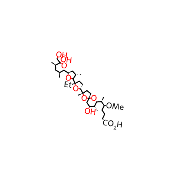 CC[C@@]1(C2O[C@@H]([C@H]3O[C@@](O)(CO)[C@H](C)C[C@@H]3C)C[C@@H]2C)CC[C@H]([C@]2(C)CC[C@@]3(C[C@H](O)[C@@H](C)[C@@H]([C@@H](C)[C@H](CCCC(=O)O)OC)O3)O2)O1